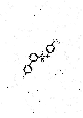 O=[N+]([O-])c1ccc(NS(=O)(=O)c2cccc(-c3ccc(F)cc3)c2)cc1